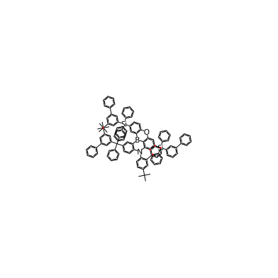 CC(C)(C)c1cc(-c2ccccc2)cc(C(c2ccccc2)(c2ccccc2)c2ccc3c(c2)B2c4cc([Si](c5ccccc5)(c5ccccc5)c5cc(-c6ccccc6)cc(C(C)(C)C)c5)ccc4Oc4cc([Si](c5ccccc5)(c5ccccc5)c5cccc(-c6ccccc6)c5)cc(c42)N3c2ccc(C(C)(C)C)cc2-c2ccccc2)c1